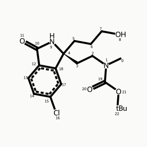 CN(CC[C@]1(CCCO)NC(=O)c2ccc(Cl)cc21)C(=O)OC(C)(C)C